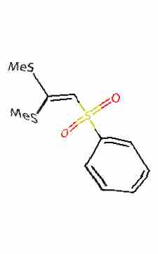 CSC(=CS(=O)(=O)c1ccccc1)SC